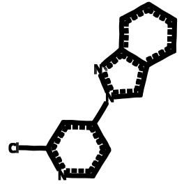 Clc1cc(-n2cc3ccccc3n2)ccn1